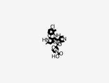 Cc1c(Cl)cccc1Nc1c(-c2ccncc2OC[C@H]2CN(C(=O)O)CCO2)[nH]c2c1C(=O)N[C@H](C)C2